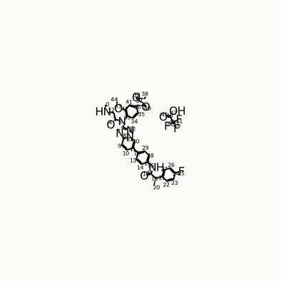 CNCC(=O)N(c1nc2ccc(-c3ccc(NC(=O)[C@H](C)c4ccc(F)cc4)cc3)cn2n1)c1ccc(S(C)(=O)=O)cc1OC.O=C(O)C(F)(F)F